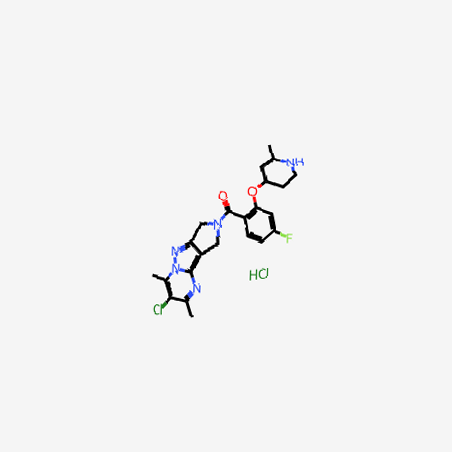 Cc1nc2c3c(nn2c(C)c1Cl)CN(C(=O)c1ccc(F)cc1OC1CCNC(C)C1)C3.Cl